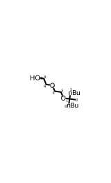 CCCCC(C)(CCCC)OCCOCCO